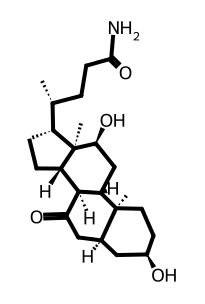 C[C@H](CCC(N)=O)[C@H]1CC[C@H]2[C@@H]3C(=O)C[C@@H]4C[C@H](O)CC[C@]4(C)[C@H]3C[C@H](O)[C@]12C